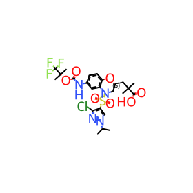 CC(C)n1cc(S(=O)(=O)N2C[C@H](CC(C)(C)C(=O)O)Oc3ccc(NC(=O)OC(C)(C)C(F)(F)F)cc32)c(Cl)n1